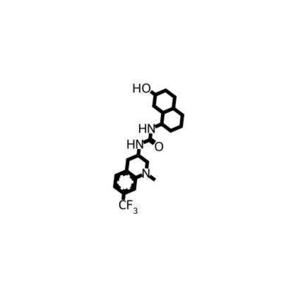 CN1CC(NC(=O)NC2CCCC3CCC(O)CC32)Cc2ccc(C(F)(F)F)cc21